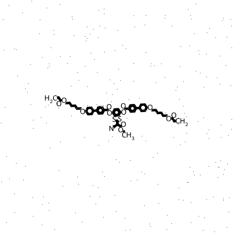 C=CC(=O)OCCCCCCOC1CCC(c2ccc(C(=O)Oc3ccc(OC(=O)c4ccc(C5CCC(OCCCCCCOC(=O)C=C)CC5)cc4)c4c3SC(=C(C#N)C(=O)OCC)S4)cc2)CC1